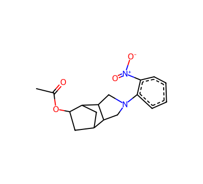 CC(=O)OC1CC2CC1C1CN(c3ccccc3[N+](=O)[O-])CC21